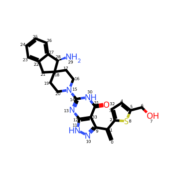 C=C(c1ccc(CO)s1)c1n[nH]c2nc(N3CCC4(CC3)Cc3ccccc3[C@H]4N)[nH]c(=O)c12